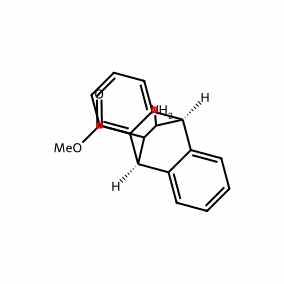 COC(=O)C1C(N)[C@H]2c3ccccc3[C@@H]1c1ccccc12